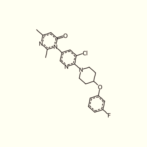 Cc1cc(=O)n(-c2cnc(N3CCC(Oc4cccc(F)c4)CC3)c(Cl)c2)c(C)n1